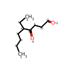 CCCCC(CC)C(=O)CCC=O